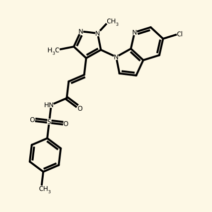 Cc1ccc(S(=O)(=O)NC(=O)C=Cc2c(C)nn(C)c2-n2ccc3cc(Cl)cnc32)cc1